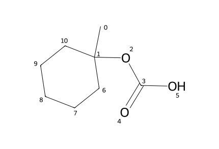 CC1(OC(=O)O)CCCCC1